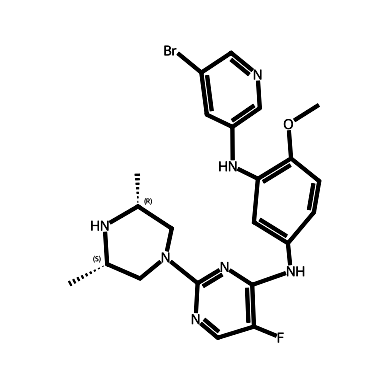 COc1ccc(Nc2nc(N3C[C@@H](C)N[C@@H](C)C3)ncc2F)cc1Nc1cncc(Br)c1